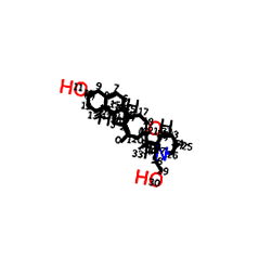 CC1=C2C[C@H]3[C@@H](CC=C4C[C@@H](O)CC[C@@]43C)[C@@H]2CC[C@@]2(C1)O[C@@H]1C[C@H](C)CN(CCO)[C@H]1[C@H]2C